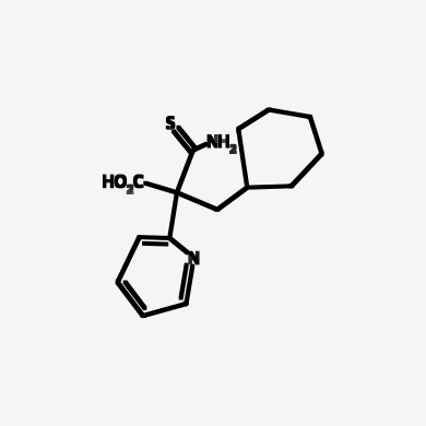 NC(=S)C(CC1CCCCC1)(C(=O)O)c1ccccn1